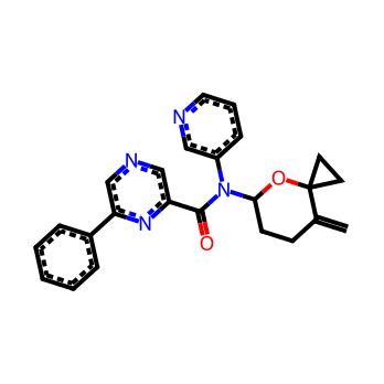 C=C1CCC(N(C(=O)c2cncc(-c3ccccc3)n2)c2cccnc2)OC12CC2